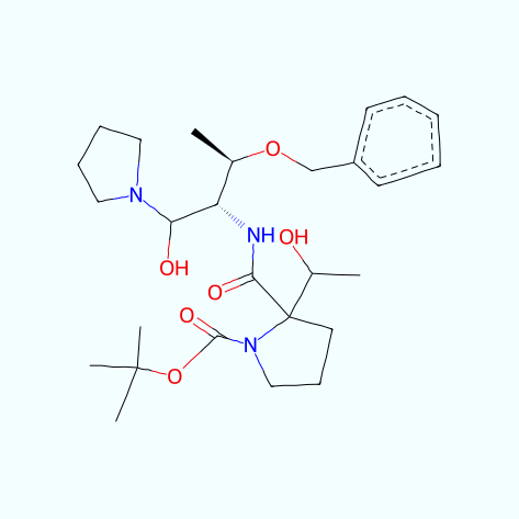 CC(O)C1(C(=O)N[C@H](C(O)N2CCCC2)[C@@H](C)OCc2ccccc2)CCCN1C(=O)OC(C)(C)C